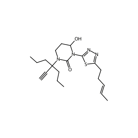 C#CC(CCC)(CCC)N1CCC(O)N(c2nnc(CCC=CC)s2)C1=O